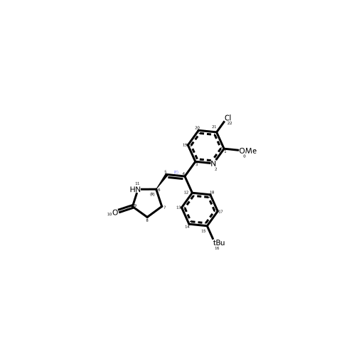 COc1nc(/C(=C/[C@H]2CCC(=O)N2)c2ccc(C(C)(C)C)cc2)ccc1Cl